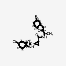 C[C@@H](NC(=O)[C@H]1C[C@@H]1c1nc2cc(Cl)ccc2[nH]1)c1cc2cc(F)ccc2o1